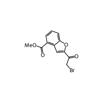 COC(=O)c1cccc2oc(C(=O)CBr)cc12